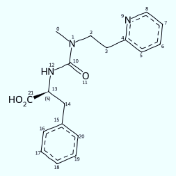 CN(CCc1ccccn1)C(=O)N[C@@H](Cc1ccccc1)C(=O)O